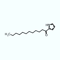 CCCCCCCCCCCC(=O)c1ccc[nH]1